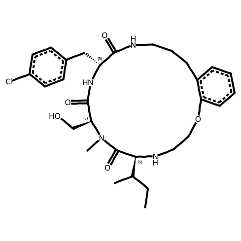 CCC(C)[C@@H]1NCCOc2ccccc2CCCNC(=O)[C@@H](Cc2ccc(Cl)cc2)NC(=O)[C@H](CO)N(C)C1=O